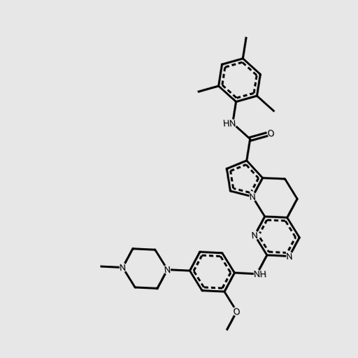 COc1cc(N2CCN(C)CC2)ccc1Nc1ncc2c(n1)-n1ccc(C(=O)Nc3c(C)cc(C)cc3C)c1CC2